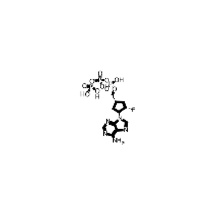 Nc1ncnc2c1ncn2[C@@H]1C[C@H](COP(=O)(O)OP(=O)(O)OP(=O)(O)O)C[C@@H]1F